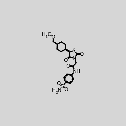 COCC1CCC(=C2SC(=O)N(CC(=O)Nc3ccc(S(N)(=O)=O)cc3)C2=O)CC1